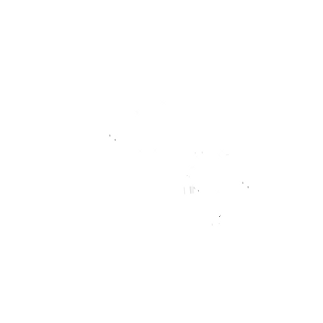 O=C(CSc1c(-c2ccc(F)cc2)[nH]c2ccccc12)N[C@@H]1C(O)NC[C@H]1O